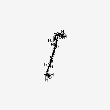 C[C@@H]1NC(=O)N[C@@H]1CCCCCC(=O)NCCOCCOCCOCCOCCC(=O)NCCCC1CN([C@@H]2OCC(O[PH](=O)O)C2O)C(=O)N=C1N